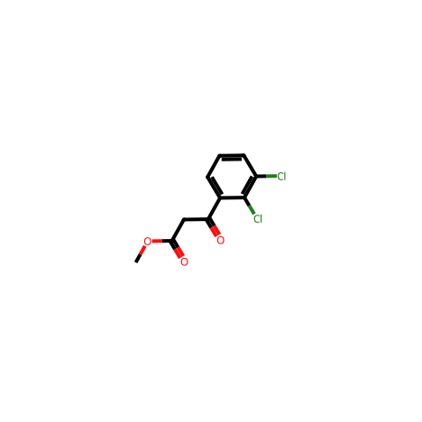 COC(=O)CC(=O)c1cccc(Cl)c1Cl